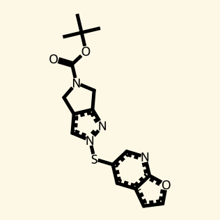 CC(C)(C)OC(=O)N1Cc2cn(Sc3cnc4occc4c3)nc2C1